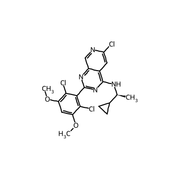 COc1cc(OC)c(Cl)c(-c2nc(N[C@@H](C)C3CC3)c3cc(Cl)ncc3n2)c1Cl